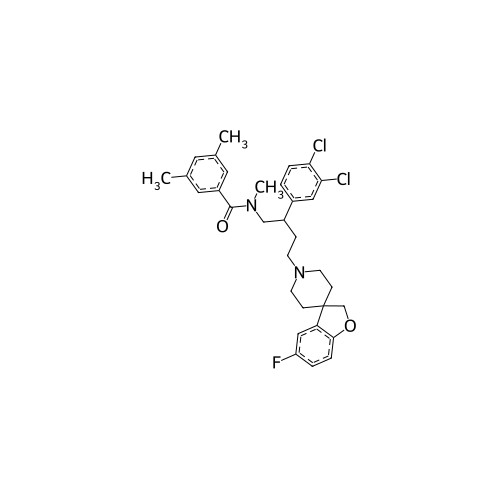 Cc1cc(C)cc(C(=O)N(C)CC(CCN2CCC3(CC2)COc2ccc(F)cc23)c2ccc(Cl)c(Cl)c2)c1